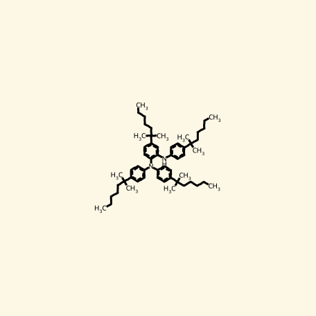 CCCCCC(C)(C)c1ccc(Nc2cc(C(C)(C)CCCCC)ccc2N(c2ccc(C(C)(C)CCCCC)cc2)c2ccc(C(C)(C)CCCCC)cc2)cc1